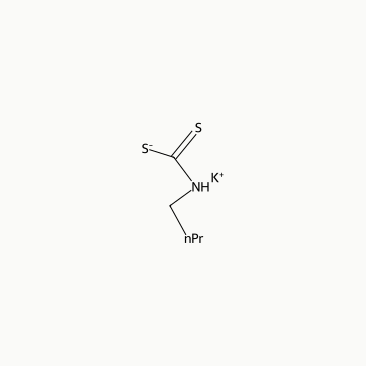 CCCCNC(=S)[S-].[K+]